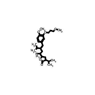 COCCCOc1cc(CC(CC(N)C2CC(C(C)C)C(=O)O2)C(C)C)ccc1OC